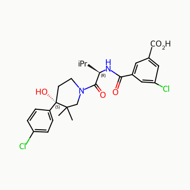 CC(C)[C@@H](NC(=O)c1cc(Cl)cc(C(=O)O)c1)C(=O)N1CC[C@](O)(c2ccc(Cl)cc2)C(C)(C)C1